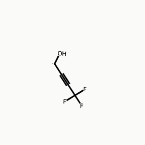 O[CH]C#CC(F)(F)F